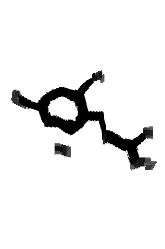 Cl.NC(S)=NCc1ccc(Cl)cc1[N+](=O)[O-]